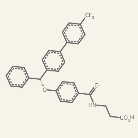 O=C(O)CCNC(=O)c1ccc(O[C@H](c2ccccc2)c2ccc(-c3ccc(C(F)(F)F)cc3)cc2)cc1